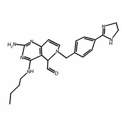 CCCCNc1nc(N)nc2c1C(C=O)N(Cc1ccc(C3=NCCN3)cc1)C=C2